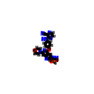 CS(=O)(=O)Nc1cnc2cc(N3CCOCC3)nc(OC3CCC(Nc4nccnc4C#N)CC3)c2c1